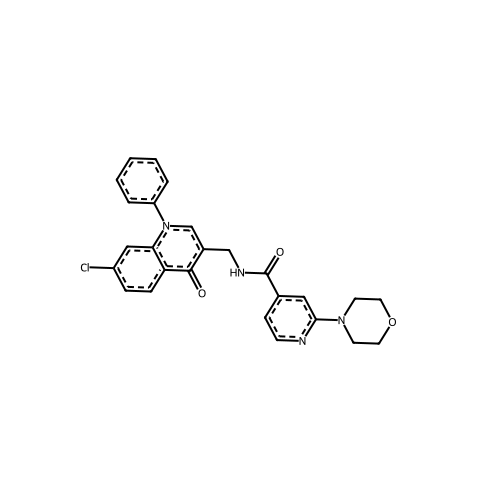 O=C(NCc1cn(-c2ccccc2)c2cc(Cl)ccc2c1=O)c1ccnc(N2CCOCC2)c1